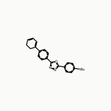 CC(C)(C)c1ccc(-c2nnc(-c3ccc(C4=CC=CCC4)cc3)o2)cc1